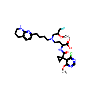 COc1ncnc(Cl)c1C1(C(=O)NC(CCN(CCCCc2ccc3c(n2)NCCC3)CC(CF)OC)C(=O)O)CC1